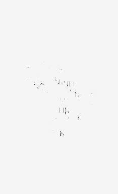 O=C(NNC(=O)N1CCCC1C(=O)Nc1cccnc1)c1ccccc1[N+](=O)[O-]